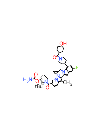 Cc1c(-c2cc3cc(F)cc(C4CCN(C(=O)C5CCC(O)CC5)CC4)c3n2CC2CC2)nn2cc(C(=O)N3CCCC(OC(N)=O)[C@H]3C(C)(C)C)ccc12